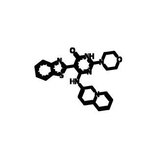 O=c1[nH]c(N2CCOCC2)nc(NC2=CC=C3C=CC=CN3C2)c1-c1nc2ccccc2s1